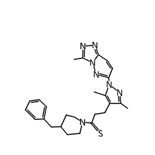 Cc1nn(-c2ccc3nnc(C)n3n2)c(C)c1CCC(=S)N1CCC(Cc2ccccc2)CC1